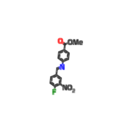 COC(=O)c1ccc(N=Cc2ccc(F)c([N+](=O)[O-])c2)cc1